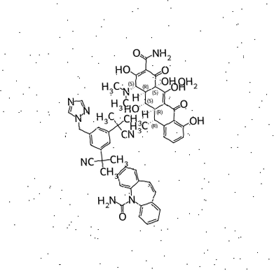 CC(C)(C#N)c1cc(Cn2cncn2)cc(C(C)(C)C#N)c1.C[C@H]1c2cccc(O)c2C(=O)C2=C(O)[C@]3(O)C(=O)C(C(N)=O)=C(O)[C@@H](N(C)C)[C@@H]3[C@@H](O)[C@@H]21.NC(=O)N1c2ccccc2C=Cc2ccccc21.O